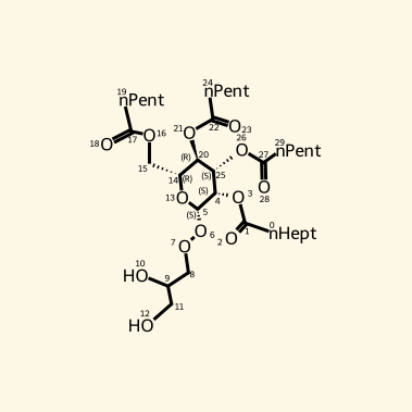 CCCCCCCC(=O)O[C@@H]1[C@H](OOCC(O)CO)O[C@H](COC(=O)CCCCC)[C@@H](OC(=O)CCCCC)[C@@H]1OC(=O)CCCCC